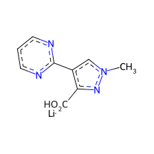 Cn1cc(-c2ncccn2)c(C(=O)O)n1.[Li]